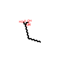 CCCCCCCC/C=C\CCCCCCCCC(O)(CC(=O)O)CC(=O)O